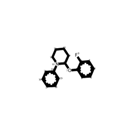 Fc1ccccc1OC1CCCCN1c1c[c]ccc1